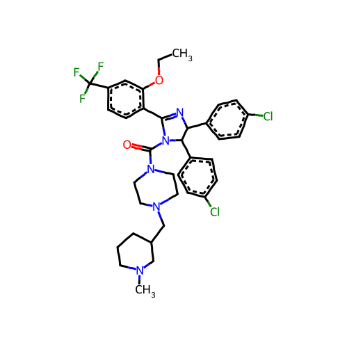 CCOc1cc(C(F)(F)F)ccc1C1=NC(c2ccc(Cl)cc2)C(c2ccc(Cl)cc2)N1C(=O)N1CCN(CC2CCCN(C)C2)CC1